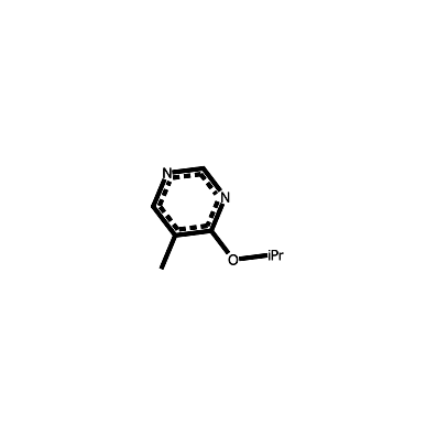 Cc1cncnc1OC(C)C